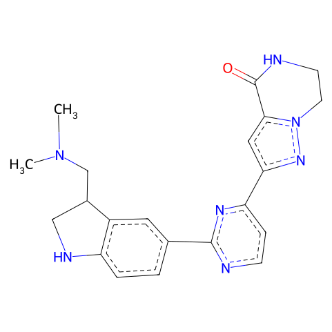 CN(C)CC1CNc2ccc(-c3nccc(-c4cc5n(n4)CCNC5=O)n3)cc21